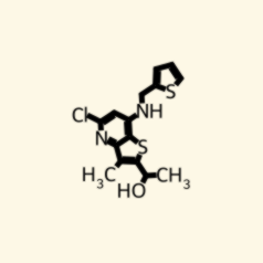 Cc1c(C(C)O)sc2c(NCc3cccs3)cc(Cl)nc12